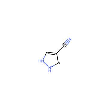 N#CC1=CNN[C]1